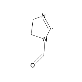 O=CN1[C]=NCC1